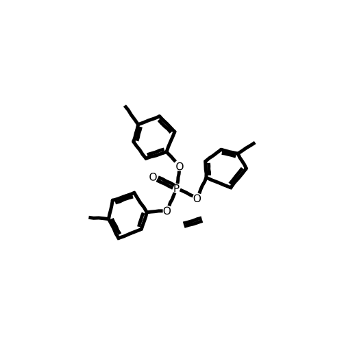 C=C.Cc1ccc(OP(=O)(Oc2ccc(C)cc2)Oc2ccc(C)cc2)cc1